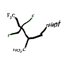 CCCCCCCCC(C(=O)O)C(F)(F)C(F)(F)F